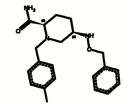 Cc1ccc(CN2C[C@H](NOCc3ccccc3)CC[C@H]2C(N)=O)cc1